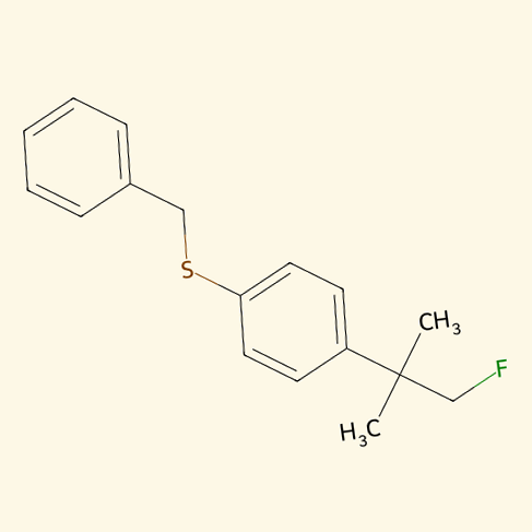 CC(C)(CF)c1ccc(SCc2ccccc2)cc1